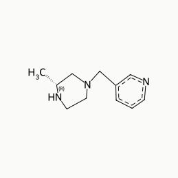 C[C@@H]1CN(Cc2cccnc2)CCN1